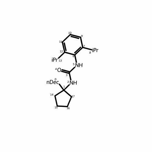 CCCCCCCCCCC1(NC(=O)Nc2c(C(C)C)cccc2C(C)C)CCCC1